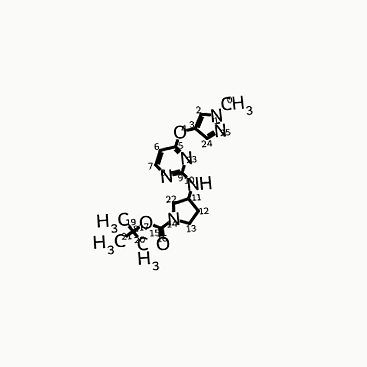 Cn1cc(Oc2ccnc(NC3CCN(C(=O)OC(C)(C)C)C3)n2)cn1